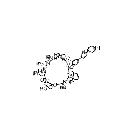 CC[C@H](C)[C@@H]1NC(=O)[C@@H]2CCCN2C(=O)[C@H](Cc2cccc(-c3ccc(N4CCNCC4)nc3)c2)N(C)C(=O)[C@H](Cc2ccccc2)NC(=O)C(C(C)C)N(C)C(=O)[C@@H]([C@@H](C)CC)OC(=O)[C@H](C(C)(C)O)N(C)C(=O)[C@H](CC(C)C)NC[C@H](C(C)C)N(C)C1=O